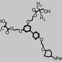 C=C(CO)C(=O)OCCOc1cc(OCCOC(=O)C(C)(C)CO)cc(-c2ccc(OCCOC3CCC(CCCCC)CC3)cc2)c1